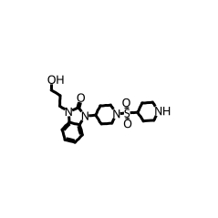 O=c1n(CCCO)c2ccccc2n1C1CCN(S(=O)(=O)C2CCNCC2)CC1